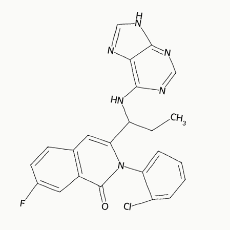 CCC(Nc1ncnc2[nH]cnc12)c1cc2ccc(F)cc2c(=O)n1-c1ccccc1Cl